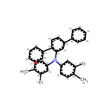 CCc1cc(N(c2ccc(C)c(CC)c2)c2cc(-c3ccccc3)ccc2-c2ccccc2)ccc1C